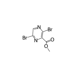 COC(=O)c1nc(Br)cnc1Br